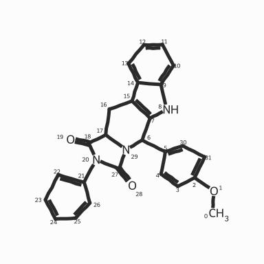 COc1ccc(C2c3[nH]c4ccccc4c3CC3C(=O)N(c4ccccc4)C(=O)N32)cc1